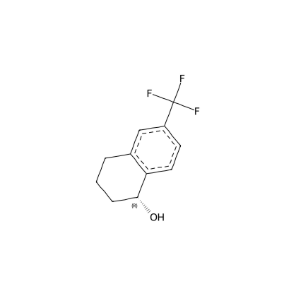 O[C@@H]1CCCc2cc(C(F)(F)F)ccc21